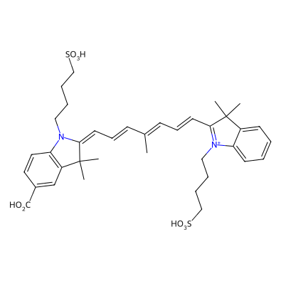 CC(/C=C/C=C1/N(CCCCS(=O)(=O)O)c2ccc(C(=O)O)cc2C1(C)C)=C\C=C\C1=[N+](CCCCS(=O)(=O)O)c2ccccc2C1(C)C